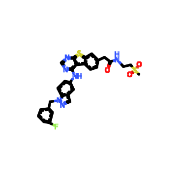 CS(=O)(=O)CCNC(=O)Cc1ccc2c(c1)sc1ncnc(Nc3ccc4c(cnn4Cc4cccc(F)c4)c3)c12